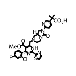 COC(=O)C1=C(CN2CCN3C(=O)N(c4ccc(C(C)(C)C(=O)O)cn4)C[C@@H]3C2)NC(c2nccs2)=N[C@H]1c1ccc(F)cc1Cl